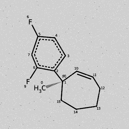 C[C@]1(c2ccc(F)cc2F)C=CCCCC1